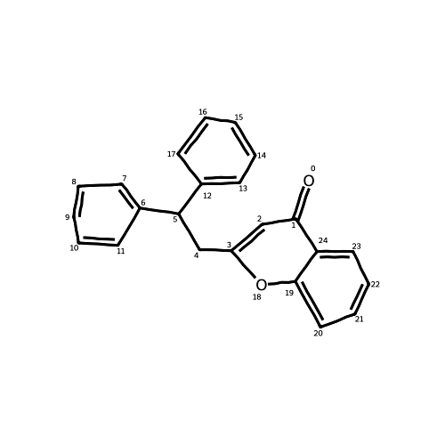 O=c1cc(CC(c2ccccc2)c2ccccc2)oc2ccccc12